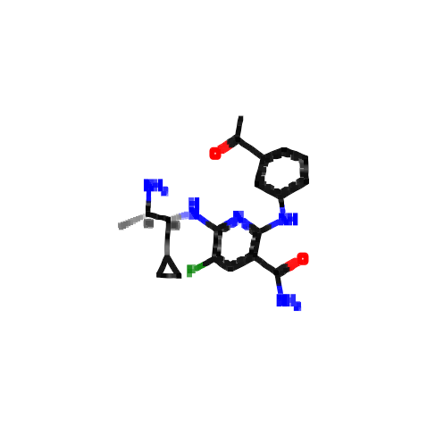 CC(=O)c1cccc(Nc2nc(N[C@H](C3CC3)[C@H](C)N)c(F)cc2C(N)=O)c1